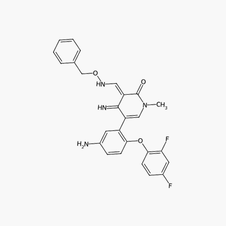 CN1C=C(c2cc(N)ccc2Oc2ccc(F)cc2F)C(=N)/C(=C\NOCc2ccccc2)C1=O